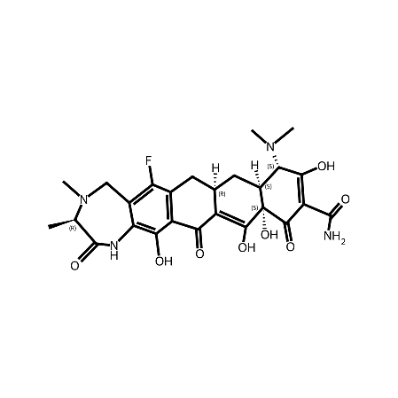 C[C@@H]1C(=O)Nc2c(O)c3c(c(F)c2CN1C)C[C@H]1C[C@H]2[C@H](N(C)C)C(O)=C(C(N)=O)C(=O)[C@@]2(O)C(O)=C1C3=O